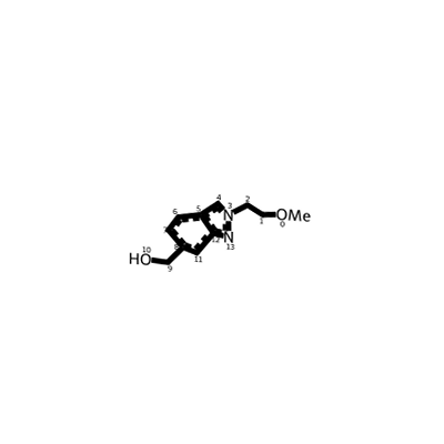 COCCn1cc2ccc(CO)cc2n1